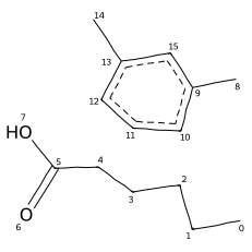 CCCCCC(=O)O.Cc1cccc(C)c1